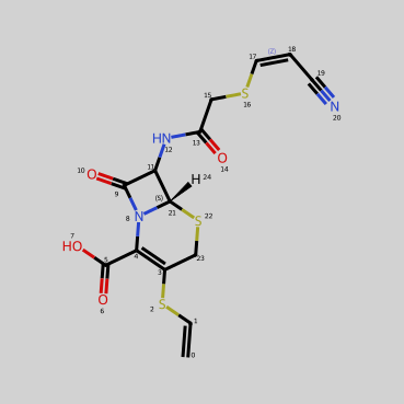 C=CSC1=C(C(=O)O)N2C(=O)C(NC(=O)CS/C=C\C#N)[C@@H]2SC1